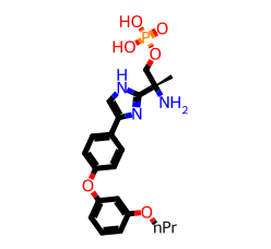 CCCOc1cccc(Oc2ccc(-c3c[nH]c([C@@](C)(N)COP(=O)(O)O)n3)cc2)c1